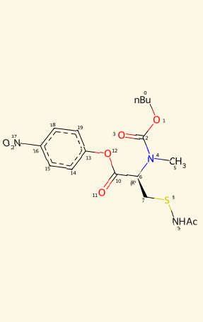 CCCCOC(=O)N(C)[C@@H](CSNC(C)=O)C(=O)Oc1ccc([N+](=O)[O-])cc1